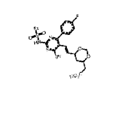 CCS(=O)(=O)Nc1nc(-c2ccc(F)cc2)c(/C=C/[C@@H]2C[C@H](CC(=O)O)OCO2)c(C(C)C)n1